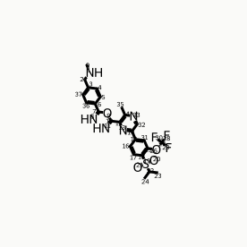 CNCc1ccc(C(=N)OC(=N)c2nc(-c3ccc(S(=O)(=O)C(C)C)c(OC(F)(F)F)c3)cnc2C)cc1